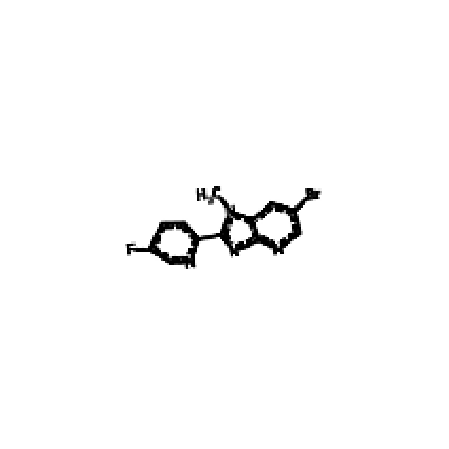 Cn1c(-c2ccc(F)cn2)nc2ncc(Br)cc21